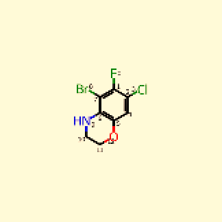 Fc1c(Cl)cc2c(c1Br)NCCO2